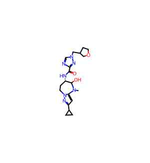 CN1c2cc(C3CC3)nn2CC[C@H](NC(=O)c2ncn(CC3CCOC3)n2)C1O